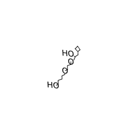 OCCCCCOCCCOCC(O)CC1CCC1